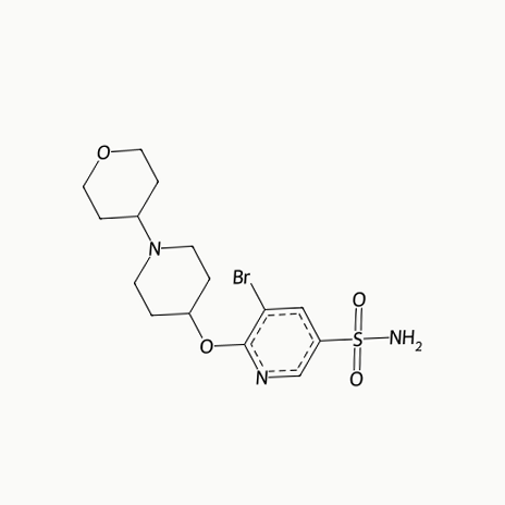 NS(=O)(=O)c1cnc(OC2CCN(C3CCOCC3)CC2)c(Br)c1